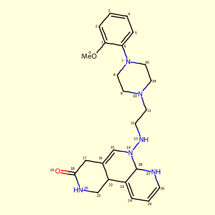 COc1ccccc1N1CCN(CCNN2C=C3CC(=O)NCC3C3=CC=CNC32)CC1